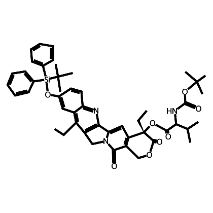 CCc1c2c(nc3ccc(O[Si](c4ccccc4)(c4ccccc4)C(C)(C)C)cc13)-c1cc3c(c(=O)n1C2)COC(=O)[C@@]3(CC)OC(=O)C(NC(=O)OC(C)(C)C)C(C)C